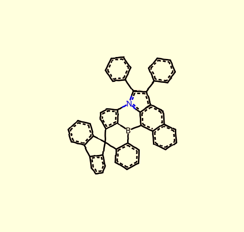 c1ccc(-c2c(-c3ccccc3)n3c4c(c5ccccc5cc24)B2c4ccccc4C4(c5ccccc5-c5ccccc54)c4cccc-3c42)cc1